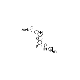 CNC(=O)Cc1ccc2nccc(Oc3cc(F)c(CC(=O)Nc4cnn(C(C)(C)C)c4)cc3C)c2c1